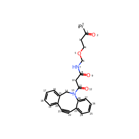 CC(C)C(=O)CCOCNC(=O)CC(=O)N1Cc2ccccc2C#Cc2ccccc21